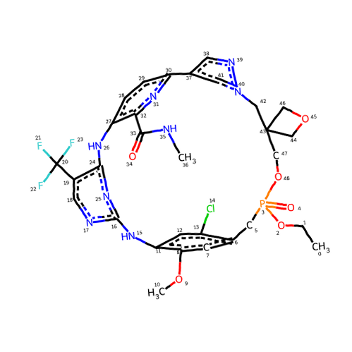 CCOP1(=O)Cc2cc(OC)c(cc2Cl)Nc2ncc(C(F)(F)F)c(n2)Nc2ccc(nc2C(=O)NC)-c2cnn(c2)CC2(COC2)CO1